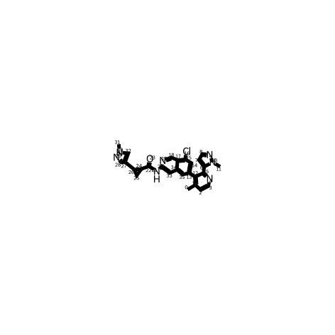 Cc1ccnc(-c2ccnn2C)c1-c1cc(Cl)c2cnc(NC(=O)C3CC3c3cnn(C)c3)cc2c1